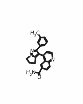 Cc1cccc(-c2nn3c(c2-c2ccnc4ccc(C(N)=O)cc24)CCC3)c1